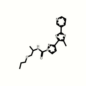 CCCOCC(C)NC(=O)n1ccc(-c2sc(-c3cccnc3)nc2C)n1